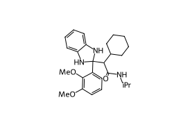 COc1cccc(C2(C(C(=O)NC(C)C)C3CCCCC3)Nc3ccccc3N2)c1OC